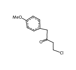 COc1ccc(CC(=O)CCCl)cc1